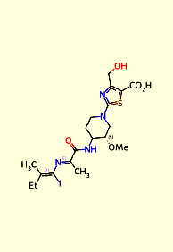 CC/C(C)=C(I)/N=C(\C)C(=O)NC1CCN(c2nc(CO)c(C(=O)O)s2)C[C@@H]1OC